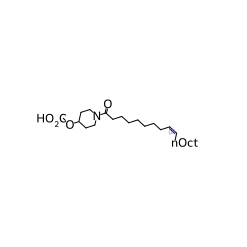 CCCCCCCC/C=C\CCCCCCCC(=O)N1CCC(OC(=O)O)CC1